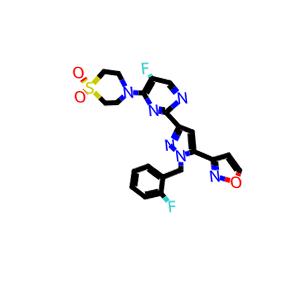 O=S1(=O)CCN(c2nc(-c3cc(-c4ccon4)n(Cc4ccccc4F)n3)ncc2F)CC1